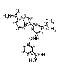 CC(C)c1cc(NCc2cccc(B(O)O)c2)nc(-c2ncc3c(C(N)=O)cccn23)n1